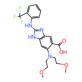 COCCN(CCOC)c1cc2[nH]c(Nc3ccccc3C(F)(F)F)nc2cc1C(=O)O